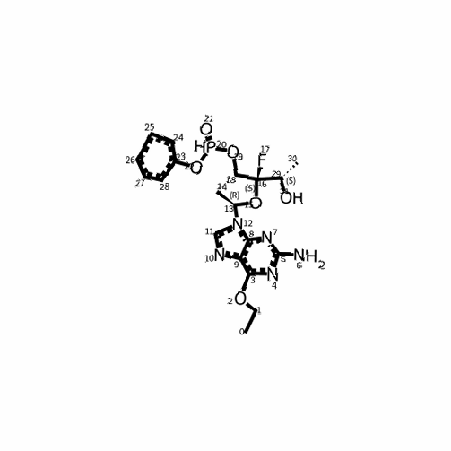 CCOc1nc(N)nc2c1ncn2[C@@H](C)O[C@](F)(CO[PH](=O)Oc1ccccc1)[C@H](C)O